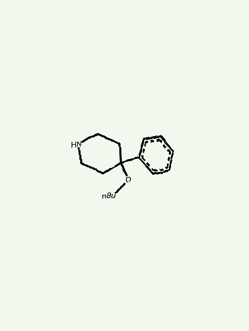 CCCCOC1(c2ccccc2)CCNCC1